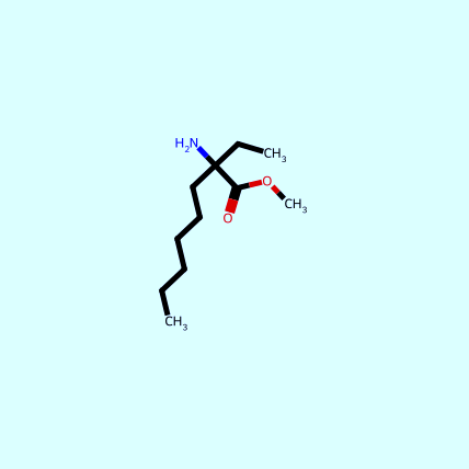 CCCCCCC(N)(CC)C(=O)OC